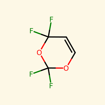 FC1(F)C=COC(F)(F)O1